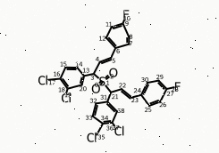 O=S(=O)(C(C=Cc1ccc(F)cc1)c1ccc(Cl)c(Cl)c1)C(C=Cc1ccc(F)cc1)c1ccc(Cl)c(Cl)c1